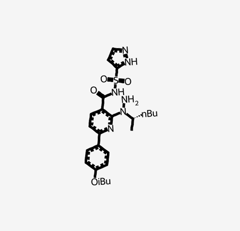 CCCC[C@H](C)N(N)c1nc(-c2ccc(OCC(C)C)cc2)ccc1C(=O)NS(=O)(=O)c1ccn[nH]1